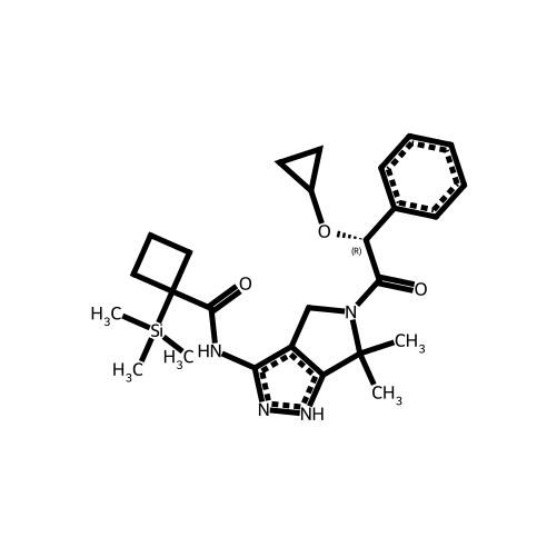 CC1(C)c2[nH]nc(NC(=O)C3([Si](C)(C)C)CCC3)c2CN1C(=O)[C@H](OC1CC1)c1ccccc1